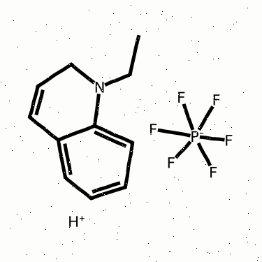 CCN1CC=Cc2ccccc21.F[P-](F)(F)(F)(F)F.[H+]